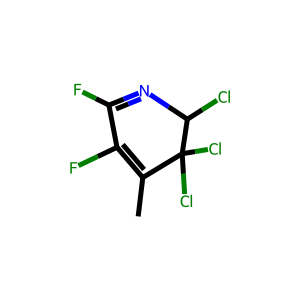 CC1=C(F)C(F)=NC(Cl)C1(Cl)Cl